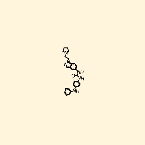 O=C(Nc1ccc(Nc2ccccc2)cc1)Nc1ccc2c(cnn2CCN2CCCC2)c1